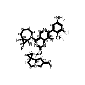 Nc1cc(Cl)c(C(F)(F)F)c(-c2ncc3c(N4CCCC[C@H]5[C@H](F)[C@H]54)nc(OC[C@]45C/C(=C/F)CN4CCC54CC4)nc3c2F)c1